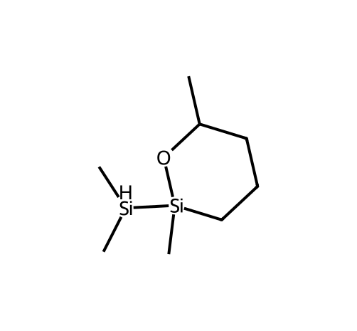 CC1CCC[Si](C)([SiH](C)C)O1